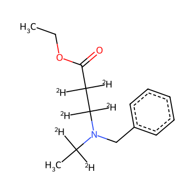 [2H]C([2H])(C)N(Cc1ccccc1)C([2H])([2H])C([2H])([2H])C(=O)OCC